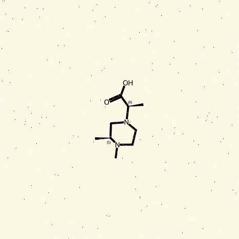 C[C@H](C(=O)O)N1CCN(C)[C@@H](C)C1